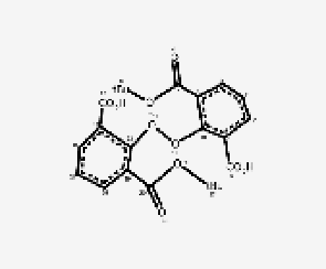 CC(C)(C)OC(=O)c1cccc(C(=O)O)c1OOc1c(C(=O)O)cccc1C(=O)OC(C)(C)C